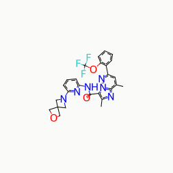 Cc1nc2c(C)cc(-c3ccccc3OC(F)(F)F)nn2c1C(=O)Nc1cccc(N2CC3(COC3)C2)n1